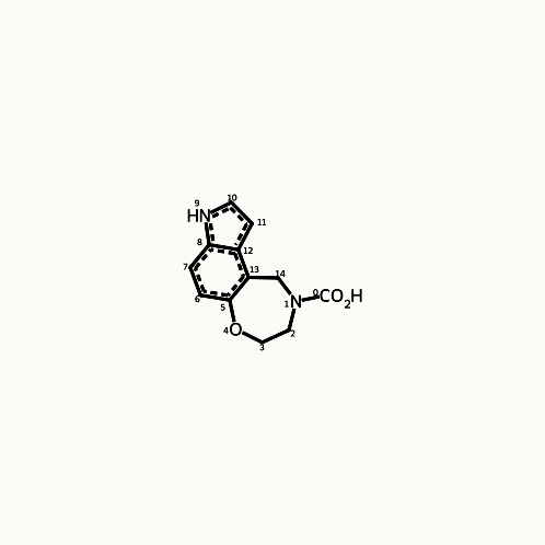 O=C(O)N1CCOc2ccc3[nH]ccc3c2C1